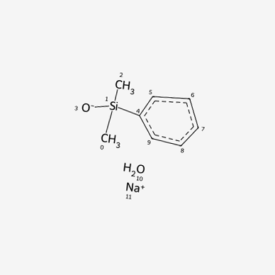 C[Si](C)([O-])c1ccccc1.O.[Na+]